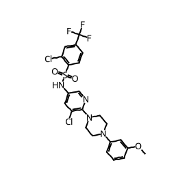 COc1cccc(N2CCN(c3ncc(NS(=O)(=O)c4ccc(C(F)(F)F)cc4Cl)cc3Cl)CC2)c1